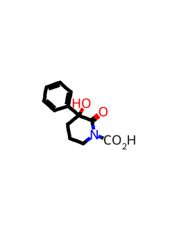 O=C(O)N1CCCC(O)(c2ccccc2)C1=O